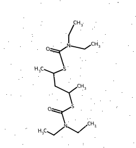 CCN(CC)C(=O)SC(C)CC(C)SC(=O)N(CC)CC